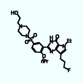 CCCOc1ccc(S(=O)(=O)N2CCN(CCO)CC2)cc1-c1nc2c(CCCF)cn(CC)c2c(=O)[nH]1